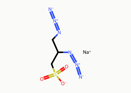 [N-]=[N+]=NCC(CS(=O)(=O)[O-])N=[N+]=[N-].[Na+]